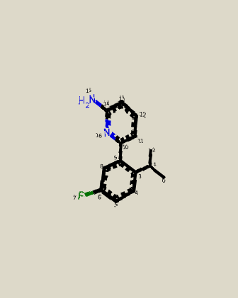 CC(C)c1ccc(F)cc1-c1cccc(N)n1